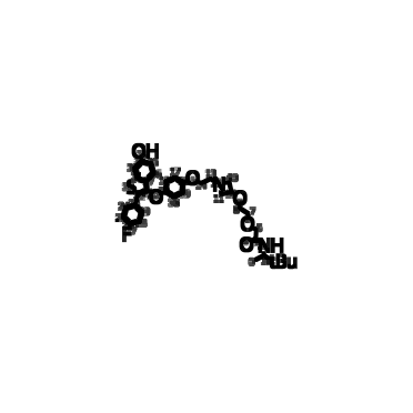 CC(NC(=O)COCCOC1CN(CCOc2ccc(Oc3c(-c4ccc(F)cc4)sc4cc(O)ccc34)cc2)C1)C(C)(C)C